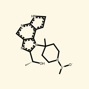 C[C@@H](O)c1nc2cnc3[nH]ccc3c2n1C1(C)CCN([S+](C)[O-])CC1